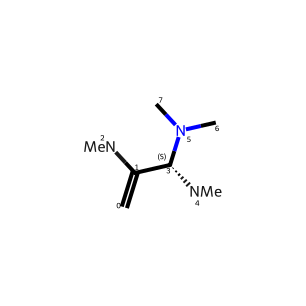 C=C(NC)[C@@H](NC)N(C)C